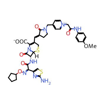 COc1ccc(NC(=O)C[n+]2ccc(CN3CC/C(=C\C4=C(C(=O)[O-])N5C(=O)[C@@H](NC(=O)/C(=N\OC6CCCC6)c6csc(N)n6)[C@H]5SC4)C3=O)cc2)cc1